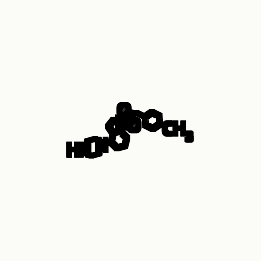 Cc1ccc(CS(=O)(=O)n2ccc3c(N4CCNCC4)cccc32)cc1